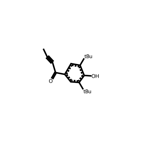 CC#CC(=O)c1cc(C(C)(C)C)c(O)c(C(C)(C)C)c1